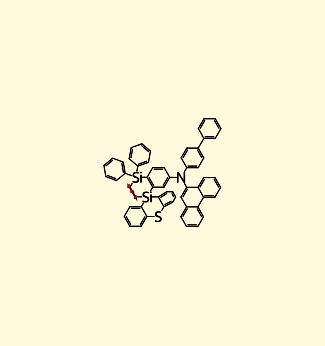 c1ccc(-c2ccc(N(c3ccc4c(c3)[Si]3(c5ccccc5Sc5ccccc53)c3ccccc3[Si]4(c3ccccc3)c3ccccc3)c3cc4ccccc4c4ccccc34)cc2)cc1